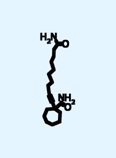 NC(=O)CCCCCCCC#CC1(C(N)=O)CCCCCC1